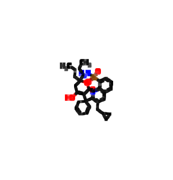 CCCC1(CCC)CC(O)=C(C2(c3nc4c(S(N)(=O)=O)cccc4cc3CC3CC3)C=CC=CC2)C(=O)O1